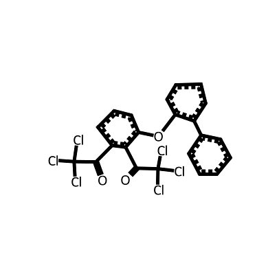 O=C(c1cccc(Oc2ccccc2-c2ccccc2)c1C(=O)C(Cl)(Cl)Cl)C(Cl)(Cl)Cl